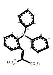 CCOC(=O)C(=Cc1ccccc1P(c1ccccc1)c1ccccc1)C(=O)OCC